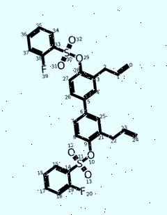 C=CCc1cc(-c2ccc(OS(=O)(=O)c3ccccc3F)c(CC=C)c2)ccc1OS(=O)(=O)c1ccccc1F